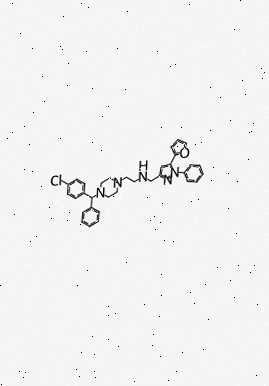 Clc1ccc(C(c2ccccc2)N2CCN(CCNCc3cc(-c4ccco4)n(-c4ccccc4)n3)CC2)cc1